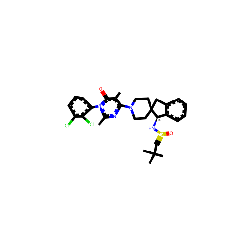 Cc1c(N2CCC3(CC2)Cc2ccccc2[C@H]3NS(=O)#CC(C)(C)C)nc(C)n(-c2cccc(Cl)c2Cl)c1=O